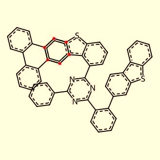 c1ccc(-c2nc(-c3ccccc3-c3ccc4c(c3)sc3ccccc34)nc(-c3cccc4sc5ccc(-c6ccccc6-c6ccccc6-c6ccccc6)cc5c34)n2)cc1